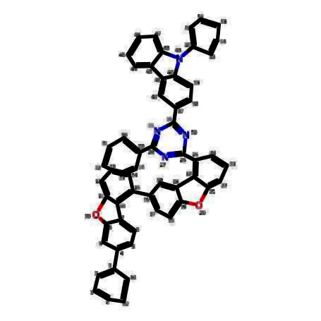 c1ccc(-c2ccc3c(c2)oc2cccc(-c4ccc5oc6cccc(-c7nc(-c8ccccc8)nc(-c8ccc9c(c8)c8ccccc8n9-c8ccccc8)n7)c6c5c4)c23)cc1